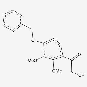 COc1c(OCc2ccccc2)ccc(C(=O)CO)c1OC